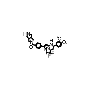 COc1ccc(C2CC(C(F)(F)F)n3nc(-c4ccc(C(=O)N5CC6CNCC6C5)cc4)cc3N2)cc1OC